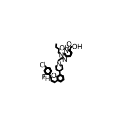 [2H][C@]1(c2ccc(Cl)cc2F)C=Cc2cccc(C3CCN(Cc4nc5ccc(C(=O)O)nc5n4C[C@@H](O)CC)CC3)c2O1